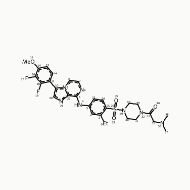 CCc1cc(Nc2nccn3c(-c4ccc(OC)c(F)c4F)cnc23)ccc1S(=O)(=O)N1CCN(C(=O)CN(C)C)CC1